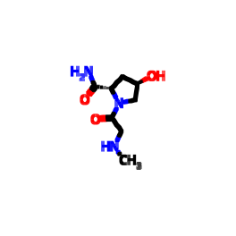 CNCC(=O)N1C[C@H](O)C[C@H]1C(N)=O